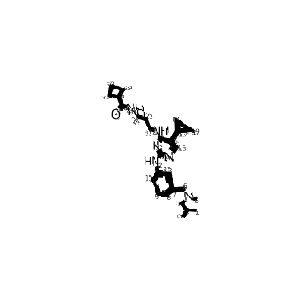 CC(C)CN(C)Cc1cccc(Nc2ncc(C3CC3)c(NCCCNC(=O)C3CCC3)n2)c1